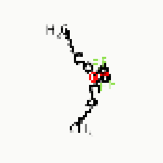 CCCCCCC[C@H]1CC[C@H]([C@H]2CC[C@H](C(OC(c3cccc(F)c3F)[C@H]3CC[C@H]([C@H]4CC[C@H](CCCCCCC)CC4)CC3)c3cccc(F)c3F)CC2)CC1